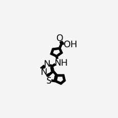 O=C(O)C1CCC(Nc2ncnc3sc4c(c23)CCC4)C1